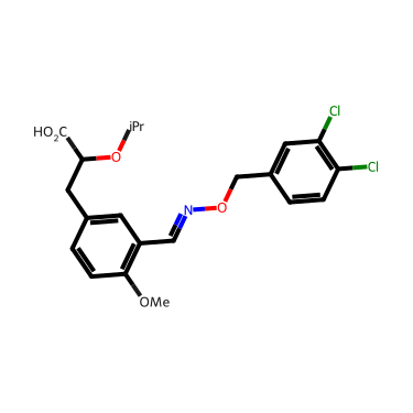 COc1ccc(CC(OC(C)C)C(=O)O)cc1/C=N/OCc1ccc(Cl)c(Cl)c1